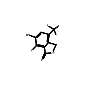 O=C1NCc2c(C(F)(F)F)cc(Br)c(F)c21